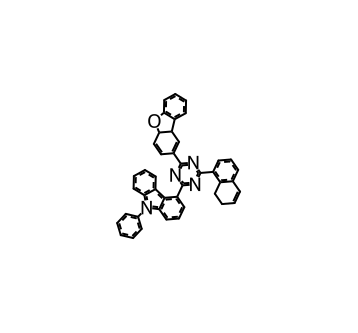 C1=Cc2cccc(-c3nc(C4=CC5c6ccccc6OC5C=C4)nc(-c4cccc5c4c4ccccc4n5-c4ccccc4)n3)c2CC1